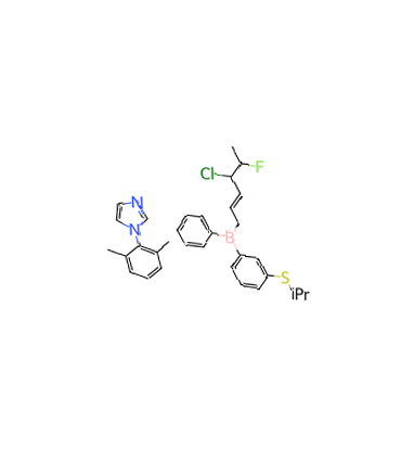 CC(C)Sc1cccc(B(CC=CC(Cl)C(C)F)c2ccccc2)c1.Cc1cccc(C)c1-n1ccnc1